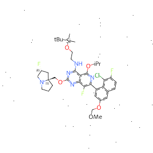 COCOc1cc(-c2nc(OC(C)C)c3c(NCCO[Si](C)(C)C(C)(C)C)nc(OC[C@@]45CCCN4C[C@H](F)C5)nc3c2F)c2c(Cl)c(F)ccc2c1